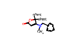 CCCCCC1(CCCCC)OC(=O)C=C1N(C)Cc1ccccc1